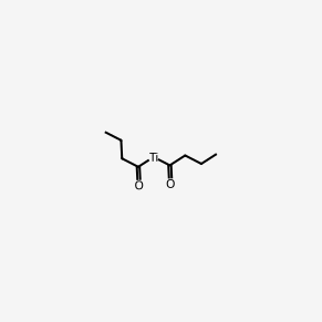 CCC[C](=O)[Ti][C](=O)CCC